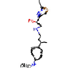 Cc1nc(C(O)CNCCC(C)c2ccc(NC=O)cc2)cs1